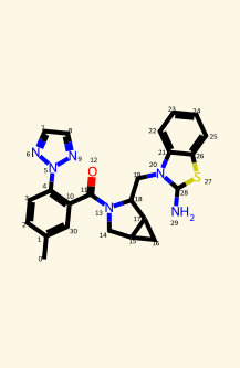 Cc1ccc(-n2nccn2)c(C(=O)N2CC3CC3C2CN2c3ccccc3SC2N)c1